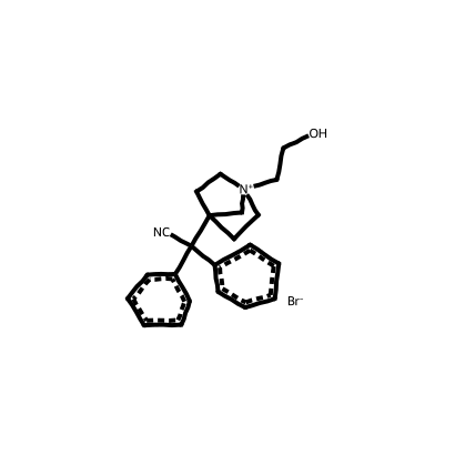 N#CC(c1ccccc1)(c1ccccc1)C12CC[N+](CCO)(CC1)C2.[Br-]